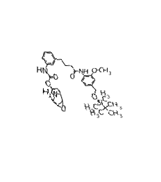 COc1cc(CO[Si](C)(C)C(C)(C)C)ccc1NC(=O)CCCc1cccc(NC(=O)OC2CC3C4OC4C(C2)N3C)c1